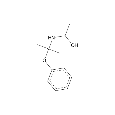 CC(O)NC(C)(C)Oc1ccccc1